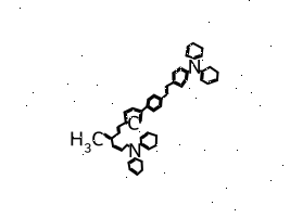 C/C=C(\C=C/CN(C1=CCCC=C1)C1=CC=CCC1)/C=C/c1ccc(-c2ccc(/C=C/c3ccc(N(C4=CCCC=C4)C4=CC=CCC4)cc3)cc2)cc1